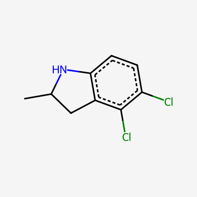 CC1Cc2c(ccc(Cl)c2Cl)N1